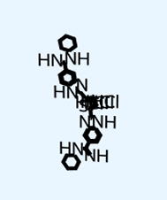 Cl.Cl.Cl.Cl.N=C(NC1CCCCC1)c1ccc2[nH]c(-c3ccc(-c4nc5cc(C(=N)NC6CCCCC6)ccc5[nH]4)s3)nc2c1